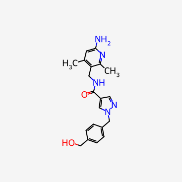 Cc1cc(N)nc(C)c1CNC(=O)c1cnn(Cc2ccc(CO)cc2)c1